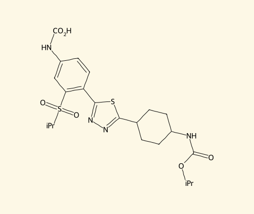 CC(C)OC(=O)NC1CCC(c2nnc(-c3ccc(NC(=O)O)cc3S(=O)(=O)C(C)C)s2)CC1